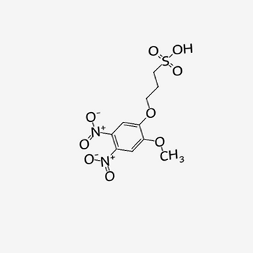 COc1cc([N+](=O)[O-])c([N+](=O)[O-])cc1OCCCS(=O)(=O)O